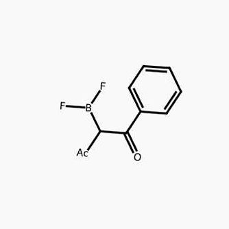 CC(=O)C(B(F)F)C(=O)c1ccccc1